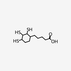 O=C(O)CCCCC1CCC(S)C(S)C1S